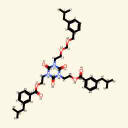 CC(C)Cc1cccc(COCOCCn2c(=O)n(CCOC(=O)c3cccc(CC(C)C)c3)c(=O)n(CCOC(=O)c3cccc(CC(C)C)c3)c2=O)c1